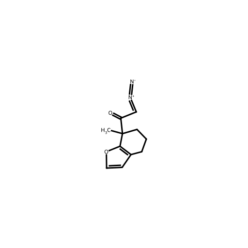 CC1(C(=O)C=[N+]=[N-])CCCc2ccoc21